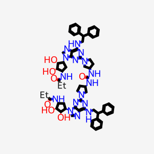 CCC(=O)N[C@H]1C[C@@H](n2cnc3c(NCC(c4ccccc4)c4ccccc4)nc(N4CCC(NC(=O)N[C@@H]5CCN(c6nc(NCC(c7ccccc7)c7ccccc7)c7ncn([C@@H]8C[C@H](NC(=O)CC)[C@@H](O)[C@H]8O)c7n6)C5)C4)nc32)[C@H](O)[C@@H]1O